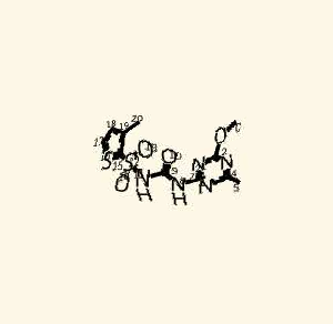 COc1nc(C)nc(NC(=O)NS(=O)(=O)c2sccc2C)n1